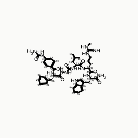 CNC(=N)NCCC[C@H](NC(=O)[C@H](CC(C)C)NC(=O)NNC(=O)[C@H](Cc1ccccc1)NC(=O)c1ccc(NC(N)=O)cc1)C(=O)N[C@@H](Cc1c[nH]c2ccccc12)C(N)=O